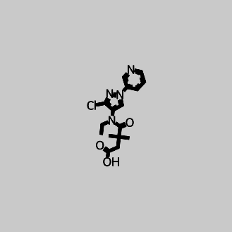 CCN(C(=O)C(C)(C)CC(=O)O)c1cn(-c2cccnc2)nc1Cl